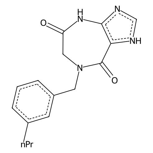 CCCc1cccc(CN2CC(=O)Nc3nc[nH]c3C2=O)c1